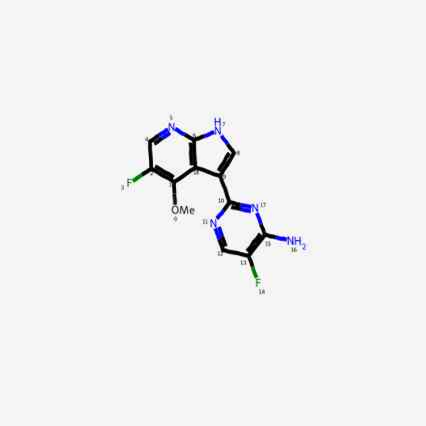 COc1c(F)cnc2[nH]cc(-c3ncc(F)c(N)n3)c12